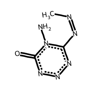 C/N=N\c1nnnc(=O)n1N